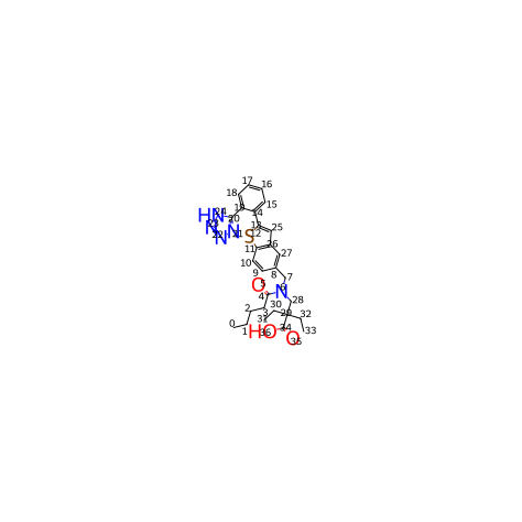 CCCCC(=O)N(Cc1ccc2sc(-c3ccccc3-c3nnn[nH]3)cc2c1)CC(CC)(CC)C(=O)O